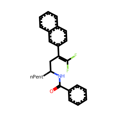 CCCCCC(CC(=C(F)F)c1ccc2ccccc2c1)NC(=O)c1ccccc1